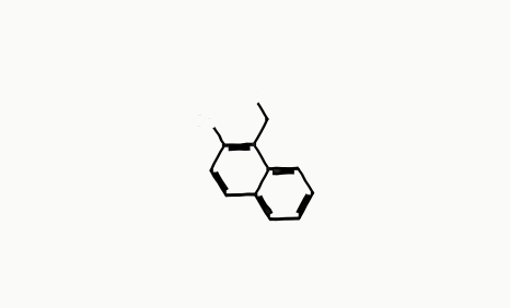 OCc1c(Br)ccc2ccccc12